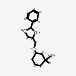 CC(C)C1(C)CCCC(OCC2COC(c3ccccc3)O2)C1